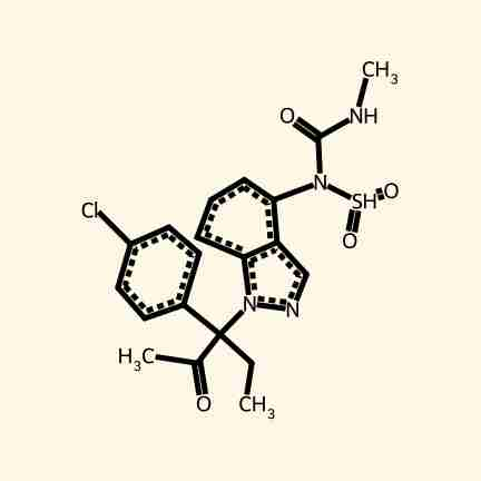 CCC(C(C)=O)(c1ccc(Cl)cc1)n1ncc2c(N(C(=O)NC)[SH](=O)=O)cccc21